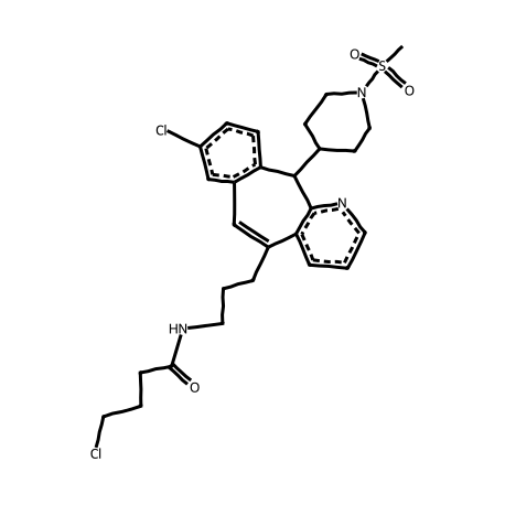 CS(=O)(=O)N1CCC(C2c3ccc(Cl)cc3C=C(CCCNC(=O)CCCCl)c3cccnc32)CC1